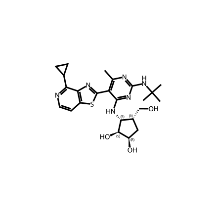 Cc1nc(NC(C)(C)C)nc(N[C@@H]2[C@H](CO)C[C@@H](O)[C@H]2O)c1-c1nc2c(C3CC3)nccc2s1